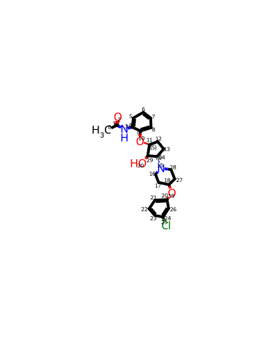 CC(=O)Nc1ccccc1O[C@H]1CC[C@H](N2CCC(Oc3cccc(Cl)c3)CC2)C1O